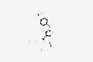 C=CCOc1nn(Cc2ccc(OC)cc2)cc1C(=O)OC